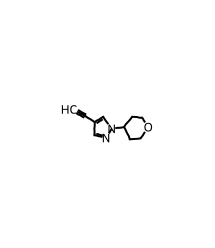 C#Cc1cnn(C2CCOCC2)c1